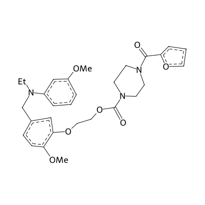 CCN(Cc1ccc(OC)c(OCCOC(=O)N2CCN(C(=O)c3ccco3)CC2)c1)c1cccc(OC)c1